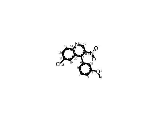 COc1cccc(-c2c([N+](=O)[O-])cnc3ccc(Cl)cc23)c1